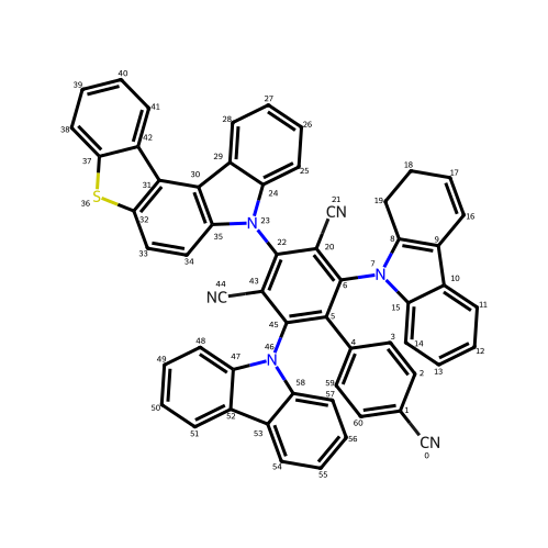 N#Cc1ccc(-c2c(-n3c4c(c5ccccc53)C=CCC4)c(C#N)c(-n3c4ccccc4c4c5c(ccc43)sc3ccccc35)c(C#N)c2-n2c3ccccc3c3ccccc32)cc1